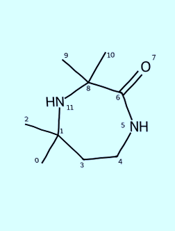 CC1(C)CCNC(=O)C(C)(C)N1